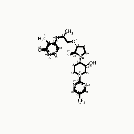 Cc1c(N[C@@H](C)CO[C@@H]2CCN([C@@H]3CCN(c4ncc(C(F)(F)F)cn4)C[C@@H]3O)C2=O)cn[nH]c1=O